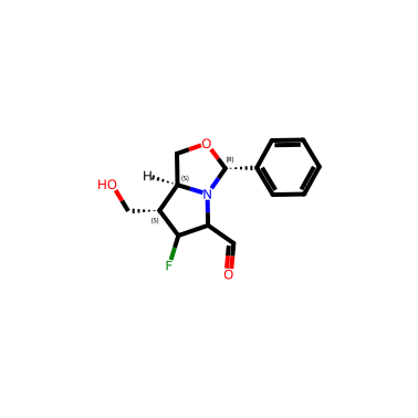 O=CC1C(F)[C@H](CO)[C@H]2CO[C@H](c3ccccc3)N12